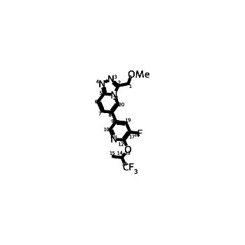 COCc1nnc2ccc(-c3cnc(OC(C)C(F)(F)F)c(F)c3)cn12